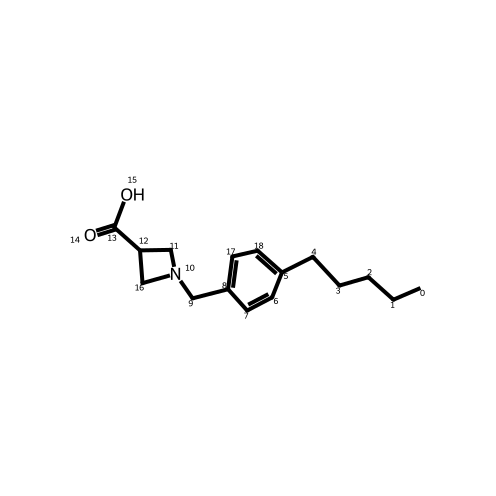 CCCCCc1ccc(CN2CC(C(=O)O)C2)cc1